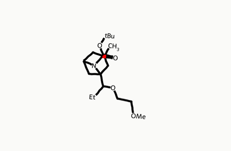 CCC(OCCOC)C12CC(C)CC(C1)N2C(=O)OC(C)(C)C